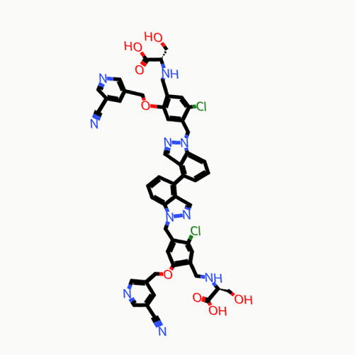 N#Cc1cncc(COc2cc(Cn3ncc4c(-c5cccc6c5cnn6Cc5cc(OCc6cncc(C#N)c6)c(CN[C@@H](CO)C(=O)O)cc5Cl)cccc43)c(Cl)cc2CN[C@@H](CO)C(=O)O)c1